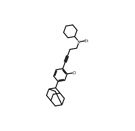 CCN(CCC#Cc1ccc(C2C3CC4CC(C3)CC2C4)cc1Cl)C1CCCCC1